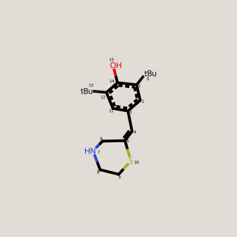 CC(C)(C)c1cc(/C=C2\CNCCS2)cc(C(C)(C)C)c1O